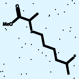 COC(=O)C(C)SCCCCC(C)F